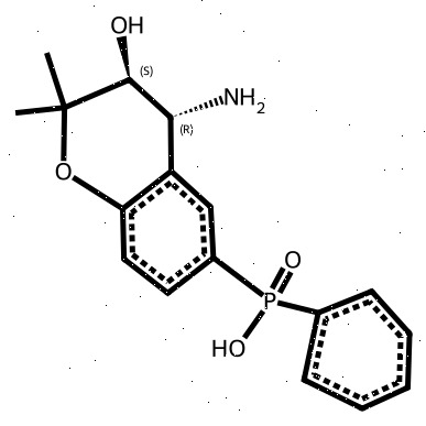 CC1(C)Oc2ccc(P(=O)(O)c3ccccc3)cc2[C@@H](N)[C@@H]1O